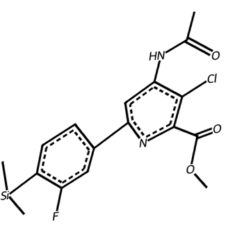 COC(=O)c1nc(-c2ccc([Si](C)(C)C)c(F)c2)cc(NC(C)=O)c1Cl